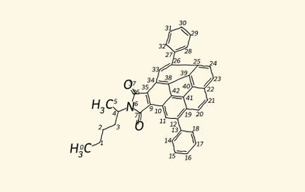 CCCCC(C)n1c(=O)c2c3cc(-c4ccccc4)c4ccc5ccc6c(-c7ccccc7)cc(c2c1=O)c1c6c5c4c31